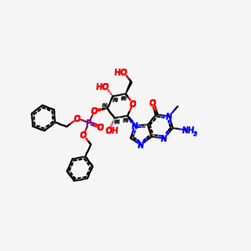 Cn1c(N)nc2ncn([C@@H]3O[C@H](CO)[C@@H](O)[C@H](OP(=O)(OCc4ccccc4)OCc4ccccc4)[C@H]3O)c2c1=O